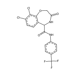 O=C1COc2c(ccc(Cl)c2Cl)C(C(=O)Nc2ccc(C(F)(F)F)cc2)N1